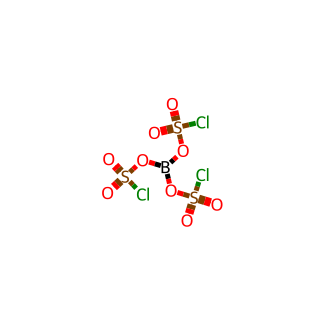 O=S(=O)(Cl)OB(OS(=O)(=O)Cl)OS(=O)(=O)Cl